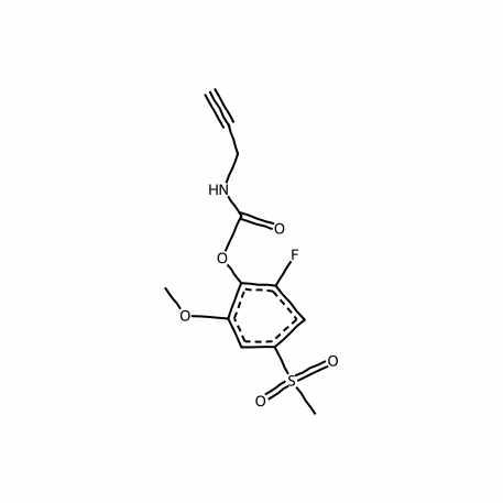 C#CCNC(=O)Oc1c(F)cc(S(C)(=O)=O)cc1OC